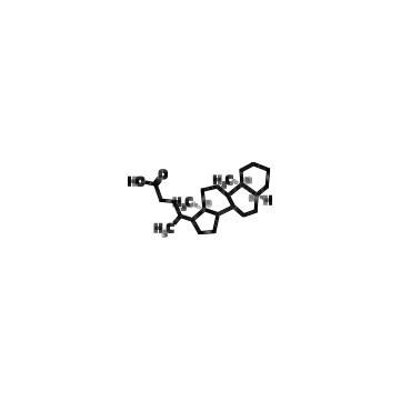 CC(CCC(=O)O)C1CCC2C3CC[C@@H]4CCCC[C@]4(C)C3CC[C@]12C